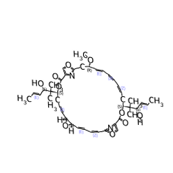 C/C=C/[C@H](O)C(C)(C)[C@@H]1C\C=C/C=C\C=C\[C@H](OC)Cc2nc(co2)C(=O)O[C@H](C(C)(C)[C@@H](O)/C=C/C)C/C=C\[C@H]2O[C@H]2/C=C/C=C\c2nc(co2)C(=O)O1